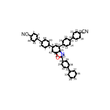 N#Cc1ccc(-c2ccc(-c3cc(-c4ccc(-c5ccc(C#N)cc5)cc4)c4nc(-c5ccc(-c6ccccc6)cc5)oc4c3)cc2)cc1